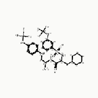 C[C@@H](CNc1ccc(OC(F)(F)F)cc1)NC(=O)[C@H](CC1CCCCC1)NS(=O)(=O)c1cccc(OC(F)(F)F)c1